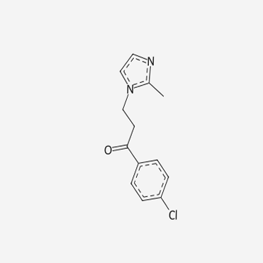 Cc1nccn1CCC(=O)c1ccc(Cl)cc1